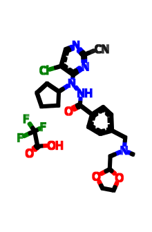 CN(Cc1ccc(C(=O)NN(c2nc(C#N)ncc2Cl)C2CCCC2)cc1)CC1OCCO1.O=C(O)C(F)(F)F